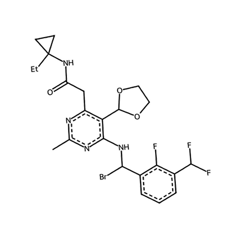 CCC1(NC(=O)Cc2nc(C)nc(NC(Br)c3cccc(C(F)F)c3F)c2C2OCCO2)CC1